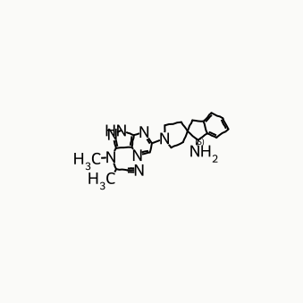 CC(C#N)N(C)c1n[nH]c2nc(N3CCC4(CC3)Cc3ccccc3[C@H]4N)cnc12